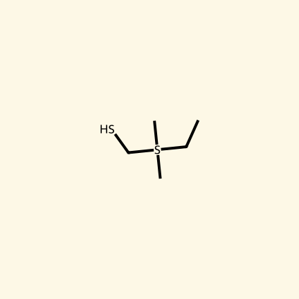 CCS(C)(C)CS